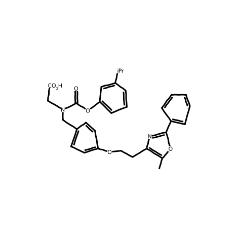 Cc1oc(-c2ccccc2)nc1CCOc1ccc(CN(CC(=O)O)C(=O)Oc2cccc(C(C)C)c2)cc1